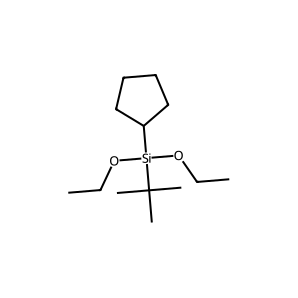 CCO[Si](OCC)(C1CCCC1)C(C)(C)C